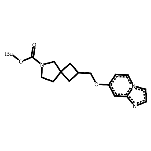 CC(C)(C)OC(=O)N1CCC2(CC(COc3ccn4ccnc4c3)C2)C1